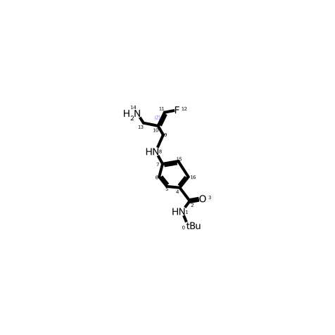 CC(C)(C)NC(=O)c1ccc(NC/C(=C\F)CN)cc1